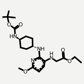 CCOC(=O)CNc1ccc(OC)nc1N[C@H]1CC[C@H](NC(=O)OC(C)(C)C)CC1